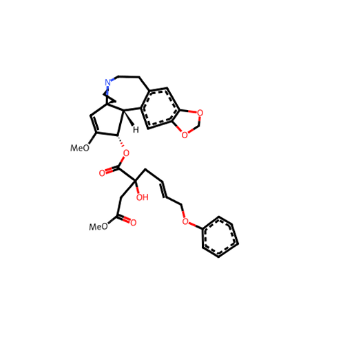 COC(=O)CC(O)(C/C=C/COc1ccccc1)C(=O)O[C@@H]1C(OC)=C[C@]23CCCN2CCc2cc4c(cc2[C@H]13)OCO4